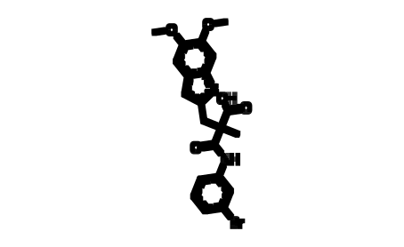 COc1cc2cc(CC(C)(C(=O)O)C(=O)Nc3cccc(Br)c3)sc2cc1OC